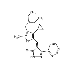 CCN(CC)Cc1c(C)[nH]c(C=C2C(=O)NN=C2c2ccncn2)c1C1CC1